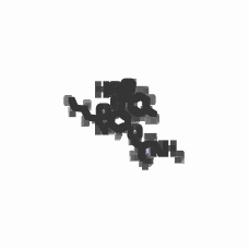 CCCCc1nc2cc(OC/C(=C/F)CN)ccc2o1.Cc1ccc(S(=O)(=O)O)cc1